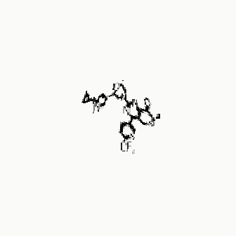 C[C@@H]1CN(c2nc(-c3ccc(C(F)(F)F)nc3)c3cnn(C)c(=O)c3n2)C[C@@H](c2cnn(C3CC3)c2)O1